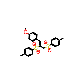 COc1ccc(C=C(CS(=O)(=O)c2ccc(C)cc2)S(=O)(=O)c2ccc(C)cc2)cc1